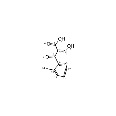 O=C(O)C(=NO)C(=O)c1ccccc1F